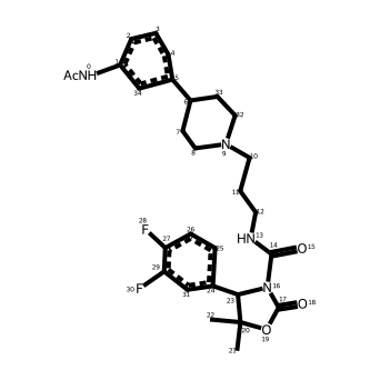 CC(=O)Nc1cccc(C2CCN(CCCNC(=O)N3C(=O)OC(C)(C)C3c3ccc(F)c(F)c3)CC2)c1